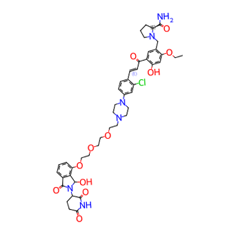 CCOc1cc(O)c(C(=O)/C=C/c2ccc(N3CCN(CCOCCOCCOc4cccc5c4C(O)N(C4CCC(=O)NC4=O)C5=O)CC3)cc2Cl)cc1CN1CCC[C@H]1C(N)=O